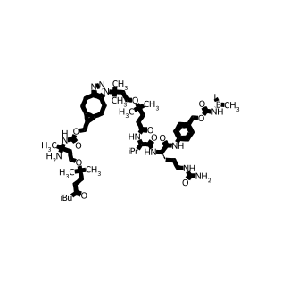 CCC(C)C(=O)CCC(C)(C)OCCC(C)(N)NC(=O)OCC1C2CCc3nnn(C(C)(C)CCOC(C)(C)CCC(=O)NC(C(=O)N[C@@H](CCCNC(N)=O)C(=O)Nc4ccc(COC(=O)NB(C)I)cc4)C(C)C)c3CCC21